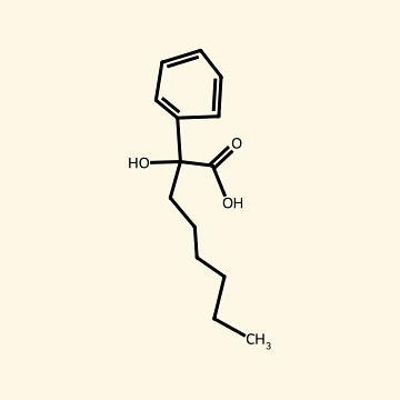 CCCCCCC(O)(C(=O)O)c1ccccc1